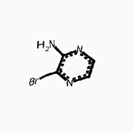 Nc1nccnc1Br